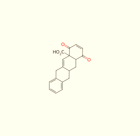 O=C1C=CC(=O)C2(C(=O)O)C=C3Cc4ccccc4CC3CC12